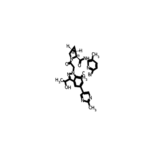 Cc1ncc(-c2cc(C)c3c(c2)c(C(C)O)nn3CC(=O)N2C[C@H]3C[C@H]3[C@H]2C(=O)Nc2nc(Br)ccc2C)cn1